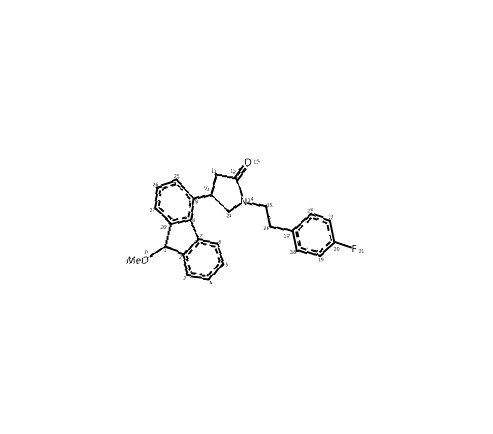 COC1c2ccccc2-c2c(C3CC(=O)N(CCc4ccc(F)cc4)C3)cccc21